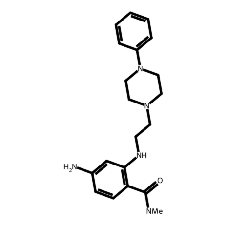 CNC(=O)c1ccc(N)cc1NCCN1CCN(c2ccccc2)CC1